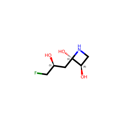 O[C@H](CF)C[C@@]1(O)NC[C@H]1O